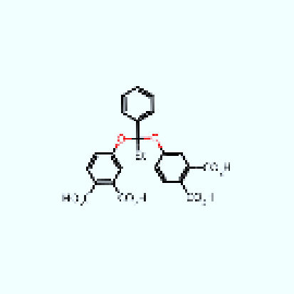 CCC(Oc1ccc(C(=O)O)c(C(=O)O)c1)(Oc1ccc(C(=O)O)c(C(=O)O)c1)c1ccccc1